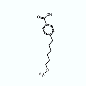 COCCCCCCc1ccc(C(=O)O)cc1